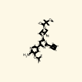 COC(C)(C)C(=O)N1C[C@@H]2C1CN2c1cc(-c2cnc(N)c(OC(F)F)c2)nc(N2CC3CC2C3)n1